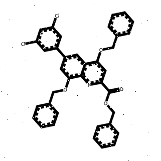 O=C(OCc1ccccc1)c1cc(OCc2ccccc2)c2cc(-c3cc(Cl)cc(Cl)c3)cc(OCc3ccccc3)c2n1